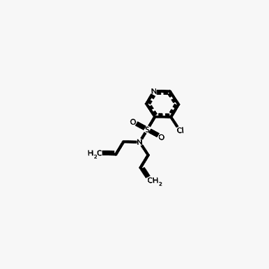 C=CCN(CC=C)S(=O)(=O)c1cnccc1Cl